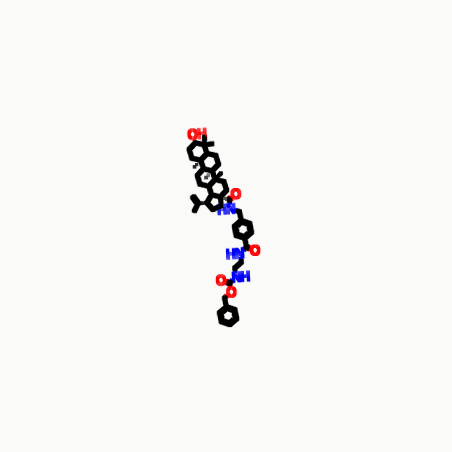 C=C(C)[C@@H]1CC[C@]2(C(=O)NCc3ccc(C(=O)NCCNC(=O)OCc4ccccc4)cc3)CC[C@]3(C)C(CCC4[C@@]5(C)CC[C@H](O)C(C)(C)C5CC[C@]43C)C12